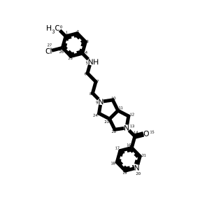 Cc1ccc(NCCCN2CC3CN(C(=O)c4cccnc4)CC3C2)cc1Cl